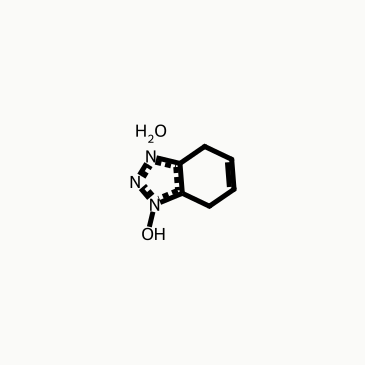 O.On1nnc2c1CC=CC2